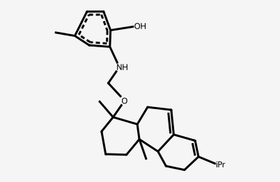 Cc1ccc(O)c(NCOC2(C)CCCC3(C)C4CCC(C(C)C)=CC4=CCC23)c1